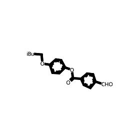 CCC(C)COc1ccc(OC(=O)c2ccc(C=O)cc2)cc1